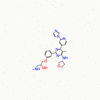 CNCC(O)COc1cccc(-c2nc(N[C@@H]3CCOC3)c(C)c(-c3ccnc(-n4ccnc4)c3)n2)c1